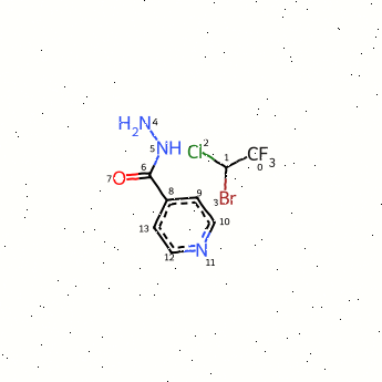 FC(F)(F)C(Cl)Br.NNC(=O)c1ccncc1